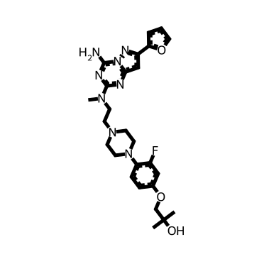 CN(CCN1CCN(c2ccc(OCC(C)(C)O)cc2F)CC1)c1nc(N)n2nc(-c3ccco3)cc2n1